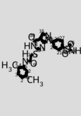 Cc1ccc(C)c(NC(=O)CSc2nc3c(cnn3-c3ccc(S(N)(=O)=O)cc3)c(=O)[nH]2)c1